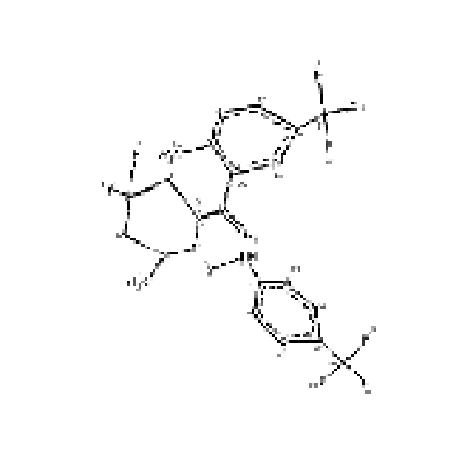 CC1CC(F)(F)CN(C(=O)c2nc(C(F)(F)F)ccc2N)[C@@H]1CNc1ccc(C(F)(F)F)cn1